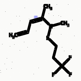 C=C/C=C(/C)N(C)SCCC(F)(F)F